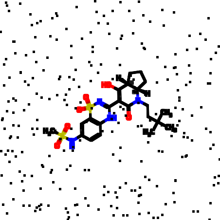 CC(C)(C)CCN1C(=O)C(C2=NS(=O)(=O)c3cc(NS(C)(=O)=O)ccc3N2)=C(O)[C@@H]2CCC[C@@H]21